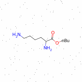 CCCCOC(=O)C(N)CCCCN